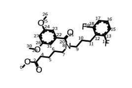 COC(=O)CCCCN(CCCc1c(F)cccc1F)C(=O)c1cc(OC)cc(OC)c1